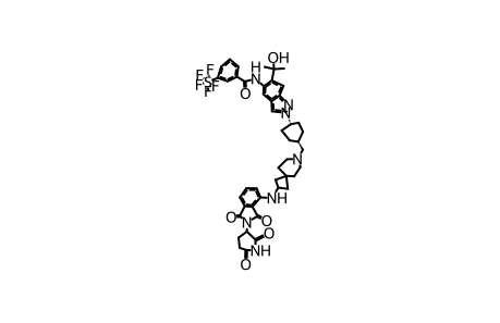 CC(C)(O)c1cc2nn([C@H]3CC[C@H](CN4CCC5(CC4)CC(Nc4cccc6c4C(=O)N(C4CCC(=O)NC4=O)C6=O)C5)CC3)cc2cc1NC(=O)c1cccc(S(F)(F)(F)(F)F)c1